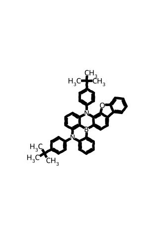 CC(C)(C)c1ccc(N2c3ccccc3B3c4ccc5c(oc6ccccc65)c4N(c4ccc(C(C)(C)C)cc4)c4cccc2c43)cc1